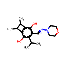 CC(C)c1c(O)c2c(c(O)c1/C=N/N1CCOCC1)C(C)C2C